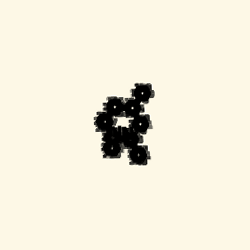 c1ccc(-c2cc(-c3ccccc3)cc(-c3cccc(-c4cccc(-c5cc6ccccc6c(-c6cc(-c7ccccc7)ccn6)n5)c4)c3)c2)cc1